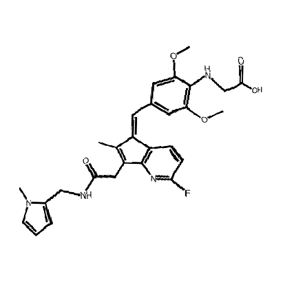 COc1cc(/C=C2/C(C)=C(CC(=O)NCc3cccn3C)c3nc(F)ccc32)cc(OC)c1NCC(=O)O